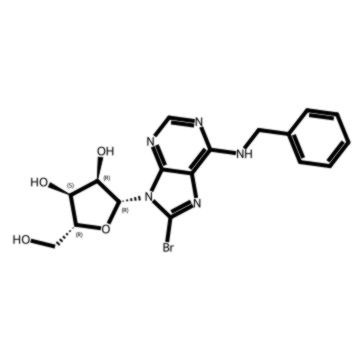 OC[C@H]1O[C@@H](n2c(Br)nc3c(NCc4ccccc4)ncnc32)[C@H](O)[C@@H]1O